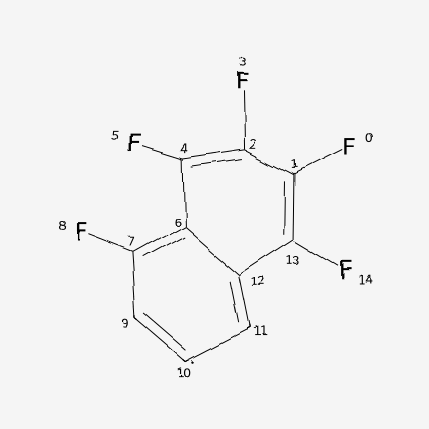 Fc1c(F)c(F)c2c(F)c[c]cc2c1F